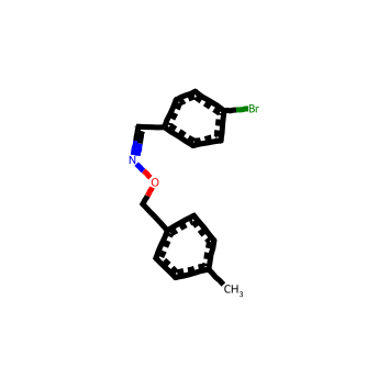 Cc1ccc(CO/N=[C]\c2ccc(Br)cc2)cc1